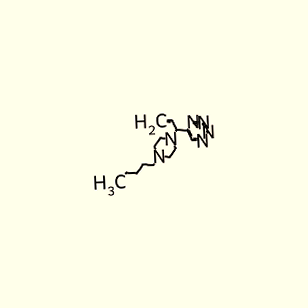 C=CC(c1cnnnn1)N1CCN(CCCCC)CC1